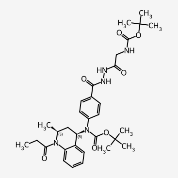 CCC(=O)N1c2ccccc2[C@H](N(C(=O)OC(C)(C)C)c2ccc(C(=O)NNC(=O)CNC(=O)OC(C)(C)C)cc2)C[C@@H]1C